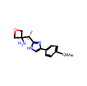 COc1ccc(-c2c[nH]c([C@@H](C)C3(N)COC3)n2)cc1